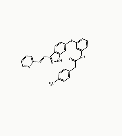 O=C(Cc1ccc(C(F)(F)F)cc1)Nc1cccc(Sc2ccc3c(/C=C/c4ccccn4)n[nH]c3c2)c1